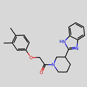 Cc1ccc(OCC(=O)N2CCCC(c3nc4ccccc4[nH]3)C2)cc1C